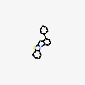 c1ccc(-c2cccc3c2cc2sc4ccccc4n23)cc1